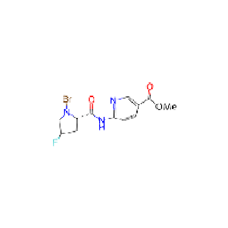 COC(=O)c1ccc(NC(=O)[C@@H]2C[C@@H](F)CN2Br)nc1